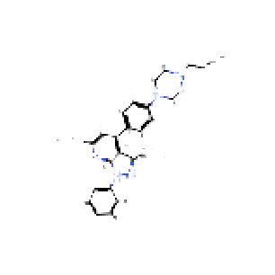 CCOC(=O)c1cc(-c2ccc(N3CCN(CCC(F)(F)F)CC3)cc2)c2c(C)nn(-c3ccccc3)c2n1